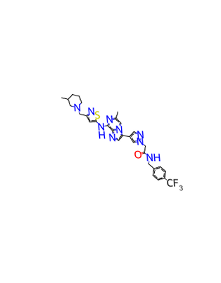 Cc1cn2c(-c3cnn(CC(=O)NCc4ccc(C(F)(F)F)cc4)c3)cnc2c(Nc2cc(CN3CCCC(C)C3)ns2)n1